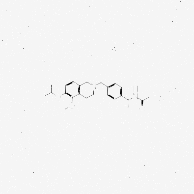 COc1c(OC(C)C)ccc2c1CCN(Cc1ccc([C@H](C)NC(C)=O)cc1)C2